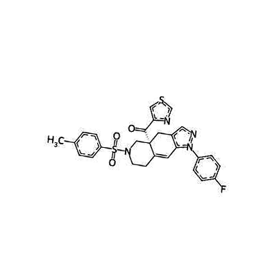 Cc1ccc(S(=O)(=O)N2CCC3=Cc4c(cnn4-c4ccc(F)cc4)C[C@]3(C(=O)c3cscn3)C2)cc1